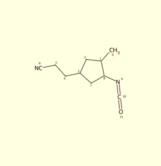 CC1CC(CCC#N)CC1N=C=O